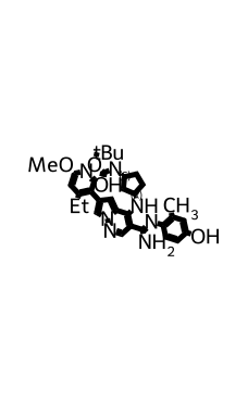 CCc1cc(OC)ncc1-c1cc2c(N[C@@H]3CC[C@H](NC(=O)OC(C)(C)C)C3)c(C(N)=Nc3ccc(O)cc3C)cnn2c1